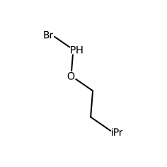 CC(C)CCOPBr